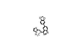 CN(Cc1nccs1)c1ncnc2ccc(-c3ccc4c(c3)OCO4)cc12